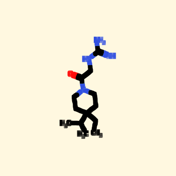 CCC1(C(C)C)CCN(C(=O)CNC(=N)N)CC1